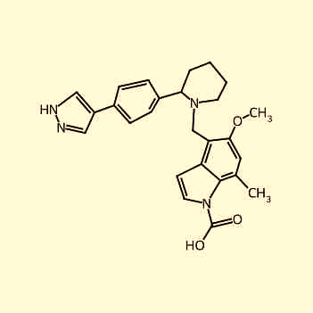 COc1cc(C)c2c(ccn2C(=O)O)c1CN1CCCCC1c1ccc(-c2cn[nH]c2)cc1